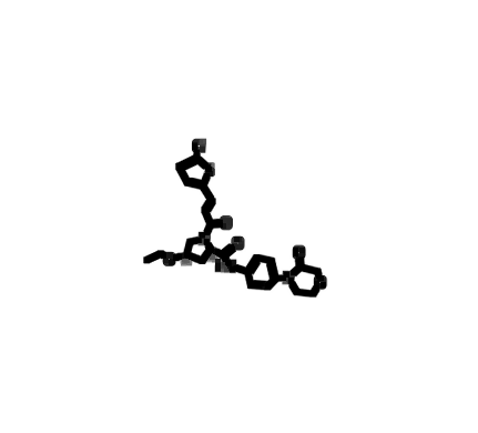 CCO[C@@H]1C[C@H](C(=O)Nc2ccc(N3CCOCC3=O)cc2)N(C(=O)C=Cc2ccc(Cl)s2)C1